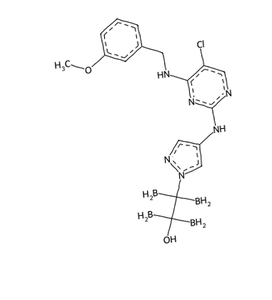 BC(B)(O)C(B)(B)n1cc(Nc2ncc(Cl)c(NCc3cccc(OC)c3)n2)cn1